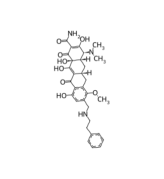 COc1c(CNCCc2ccccc2)cc(O)c2c1C[C@H]1C[C@H]3[C@H](N(C)C)C(O)=C(C(N)=O)C(=O)[C@@]3(O)C(O)=C1C2=O